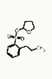 CCCc1ccccc1S(=O)(=O)OC1CCCO1